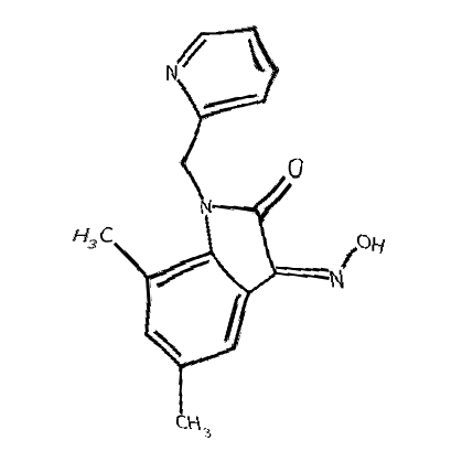 Cc1cc(C)c2c(c1)/C(=N/O)C(=O)N2Cc1ccccn1